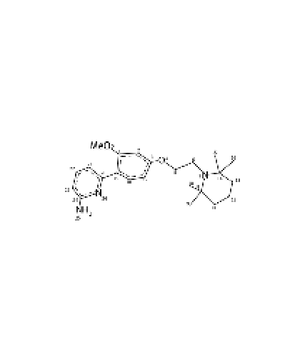 COc1cc(OCCN2C(C)(C)CCCC2(C)C)ccc1-c1cccc(N)n1